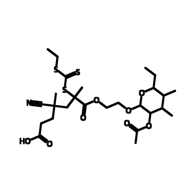 CCSC(=S)SC(C)(CC(C)(C#N)CCC(=O)O)C(=O)OCCOC1OC(CC)C(C)C(C)C1OC(C)=O